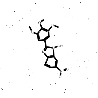 COc1cc(-c2nc3ccc([N+](=O)[O-])cc3n2O)cc(OC)c1OC